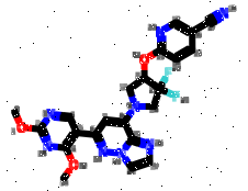 COc1ncc(-c2cc(N3CC(Oc4ccc(C#N)cn4)C(F)(F)C3)c3nccn3n2)c(OC)n1